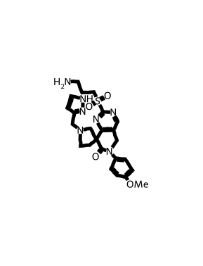 COc1ccc(N2Cc3cnc(S(=O)(=O)CCCN)nc3C3(CCN(Cc4cc[nH]n4)C3)C2=O)cc1